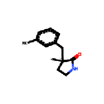 [CH2][C@]1(Cc2cccc(C#N)c2)CCNC1=O